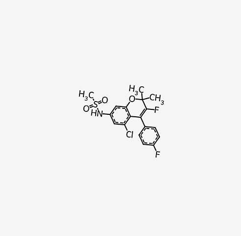 CC1(C)Oc2cc(NS(C)(=O)=O)cc(Cl)c2C(c2ccc(F)cc2)=C1F